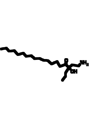 CCCCCCCCCCCCCCCC(=O)C(O)(CCC)CCN